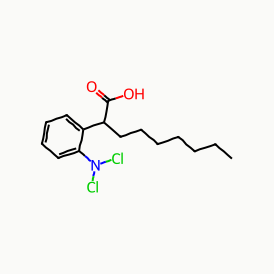 CCCCCCCC(C(=O)O)c1ccccc1N(Cl)Cl